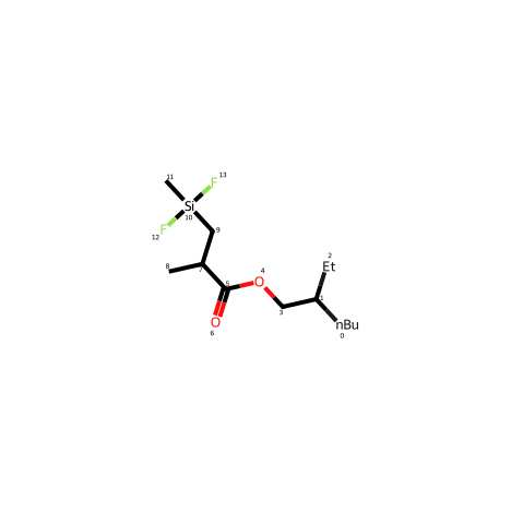 CCCCC(CC)COC(=O)C(C)C[Si](C)(F)F